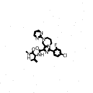 C=C(C)[C@H](NC(=O)c1nc(-c2ccc(Cl)cc2F)n2c1CN(c1ncccn1)CCC2)C(=O)NC